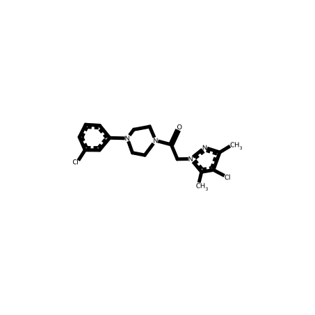 Cc1nn(CC(=O)N2CCN(c3cccc(Cl)c3)CC2)c(C)c1Cl